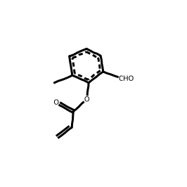 C=CC(=O)Oc1c(C)cccc1C=O